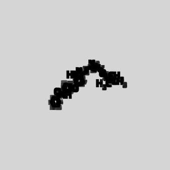 C[Si](C)(C)CCOCn1cnc(/C=C/c2n[nH]c3cc(Oc4cccc(NC(=O)c5ccccc5)c4)ccc23)c1